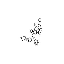 Cc1ccc(N2CCC[C@H](N(Cc3ccnc(C)c3)Cc3cn4c5c(c(OCCO)c(F)cc5c3=O)OCC4C)C2)cn1